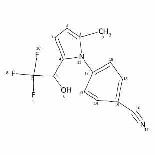 Cc1ccc(C(O)C(F)(F)F)n1-c1ccc(C#N)cc1